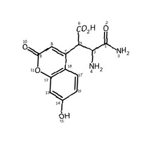 NC(=O)C(N)C(C(=O)O)c1cc(=O)oc2cc(O)ccc12